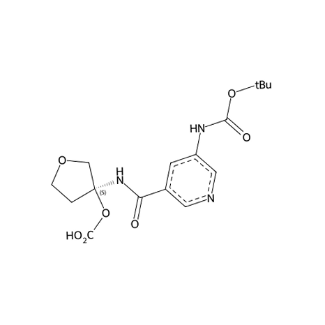 CC(C)(C)OC(=O)Nc1cncc(C(=O)N[C@]2(OC(=O)O)CCOC2)c1